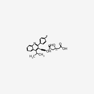 CC(C)c1c(C#CO[PH](=O)C[C@@H](O)CC(=O)O)c(-c2ccc(F)cc2)nc2ccccc12